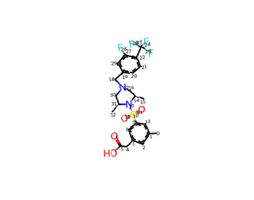 Cc1cc(CC(=O)O)cc(S(=O)(=O)N2[C@H](C)CN(Cc3ccc(C(F)(F)F)c(F)c3)C[C@@H]2C)c1